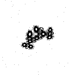 c1ccc2c(c1)Oc1cc(N3c4ccccc4Oc4ccccc43)cc3c1B2c1cc2c(cc1S3)Sc1cc(N3c4ccccc4Oc4ccccc43)cc3c1B2c1ccccc1O3